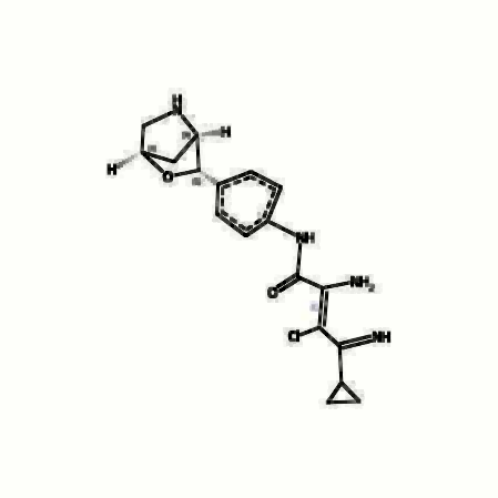 N=C(/C(Cl)=C(\N)C(=O)Nc1ccc([C@@H]2O[C@H]3CN[C@@H]2C3)cc1)C1CC1